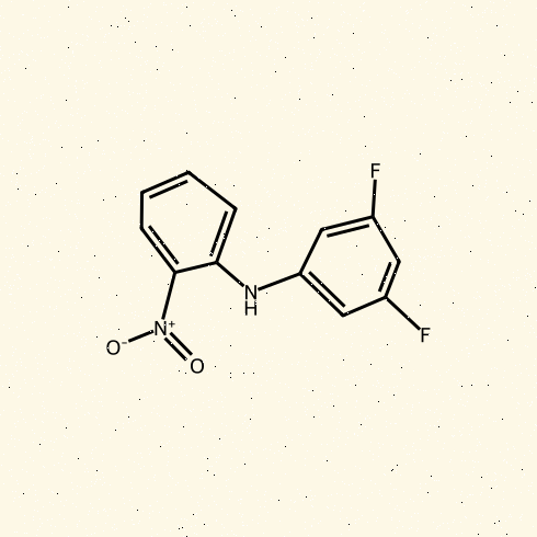 O=[N+]([O-])c1ccccc1Nc1cc(F)cc(F)c1